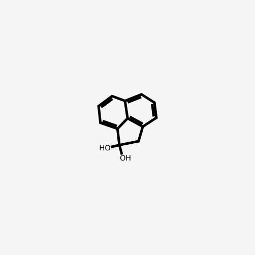 OC1(O)Cc2cccc3cccc1c23